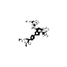 CCC(C(=O)O)c1ccc(-c2ccc3c(c2)[C@H](NC(=O)OC(C)C)C[C@H](C)N3C(C)=O)cc1